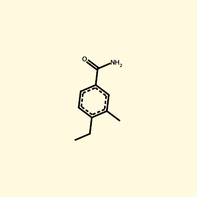 CCc1ccc(C(N)=O)cc1C